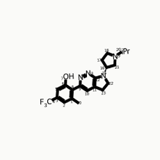 Cc1cc(C(F)(F)F)cc(O)c1-c1cc2c(nn1)N([C@@H]1CCN(C(C)C)C1)CC2